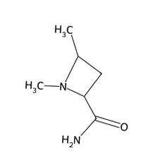 CC1CC(C(N)=O)N1C